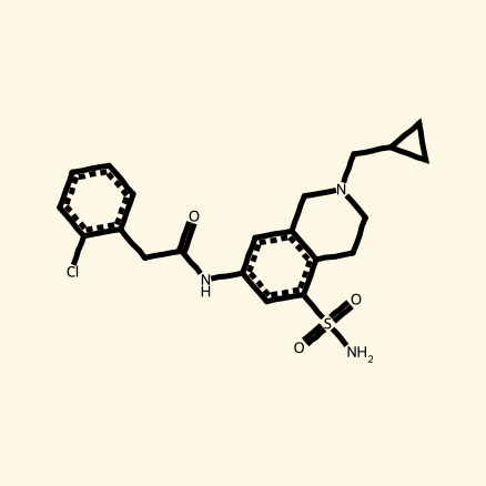 NS(=O)(=O)c1cc(NC(=O)Cc2ccccc2Cl)cc2c1CCN(CC1CC1)C2